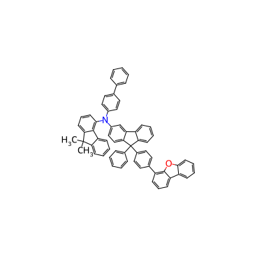 CC1(C)c2ccccc2-c2c(N(c3ccc(-c4ccccc4)cc3)c3ccc4c(c3)-c3ccccc3C4(c3ccccc3)c3ccc(-c4cccc5c4oc4ccccc45)cc3)cccc21